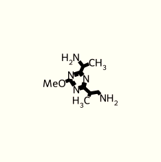 COc1nc(C(C)N)nc(C(C)CN)n1